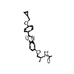 CC(=O)N[C@@H](C)COc1ccc2oc(-c3ccc(OCC4CC4)cc3)nc2c1